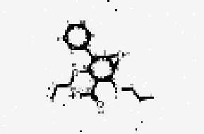 CCCOc1c2c(c(-c3ccccc3)c(OCCC)c1C(=O)O)O2